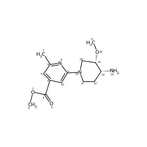 COC(=O)c1cc(C)nc(N2CC[C@@H](N)[C@@H](OC)C2)c1